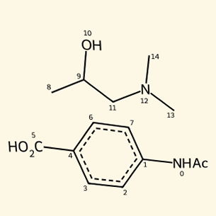 CC(=O)Nc1ccc(C(=O)O)cc1.CC(O)CN(C)C